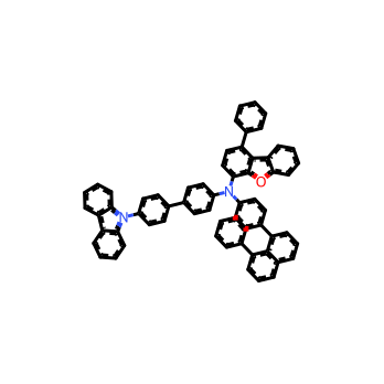 c1ccc(-c2cccc3cccc(-c4ccc(N(c5ccc(-c6ccc(-n7c8ccccc8c8ccccc87)cc6)cc5)c5ccc(-c6ccccc6)c6c5oc5ccccc56)cc4)c23)cc1